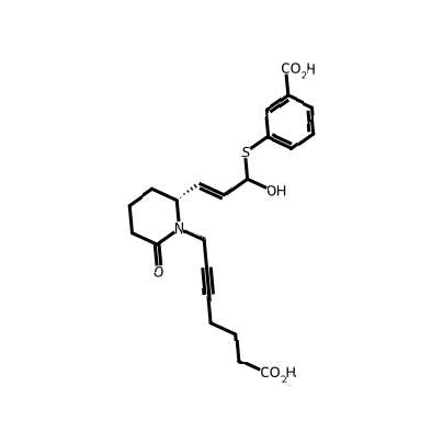 O=C(O)CCCC#CCN1C(=O)CCC[C@@H]1/C=C/C(O)Sc1cccc(C(=O)O)c1